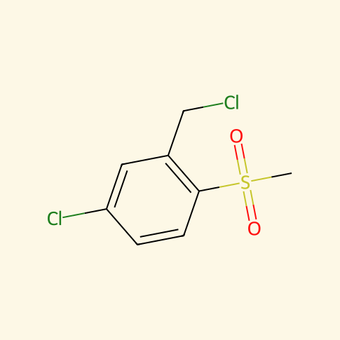 CS(=O)(=O)c1ccc(Cl)cc1CCl